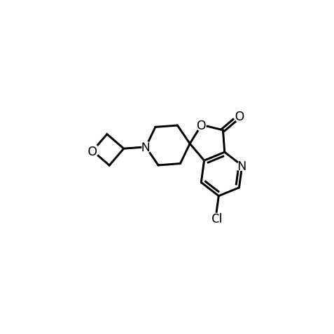 O=C1OC2(CCN(C3COC3)CC2)c2cc(Cl)cnc21